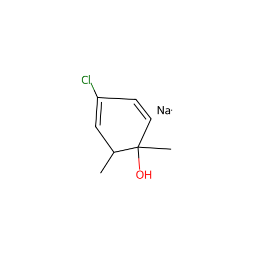 CC1C=C(Cl)C=CC1(C)O.[Na]